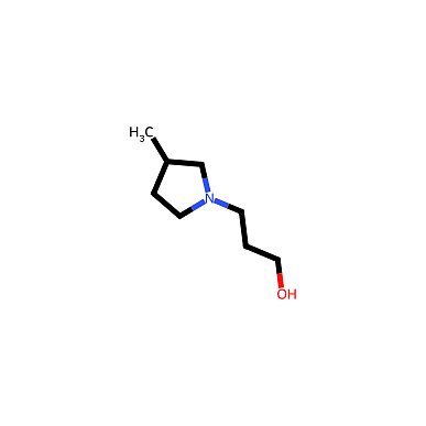 CC1CCN(CCCO)C1